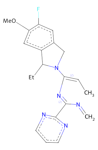 C=N/C(=N\C(=C/C)N1Cc2cc(F)c(OC)cc2C1CC)c1ncccn1